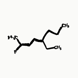 CCC/C(=C/C=C(\C)F)CC